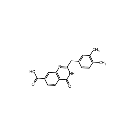 Cc1ccc(Cc2nc3cc(C(=O)O)ccc3c(=O)[nH]2)cc1C